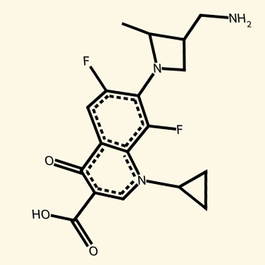 CC1C(CN)CN1c1c(F)cc2c(=O)c(C(=O)O)cn(C3CC3)c2c1F